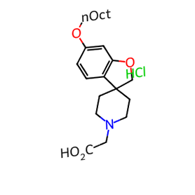 CCCCCCCCOc1ccc2c(c1)OCC21CCN(CC(=O)O)CC1.Cl